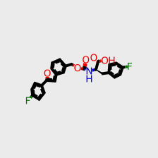 O=C(N[C@H](Cc1ccc(F)cc1)C(=O)O)OCc1ccc2oc(-c3ccc(F)cc3)cc2c1